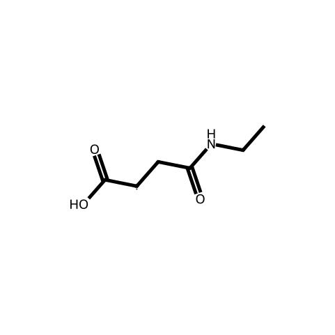 CCNC(=O)C[CH]C(=O)O